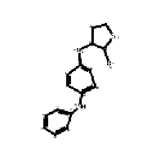 OC1OCCC1Nc1ccc(Nc2ccccc2)cc1